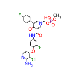 COP(=O)(O)OCn1cc(C(=O)Nc2ccc(Oc3ccnc(N)c3Cl)c(F)c2)c(=O)c(-c2ccc(F)cc2)c1